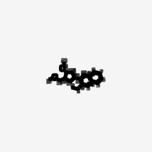 CCc1cc2ccccc2cc1C1CC(COC)C(OC)C1